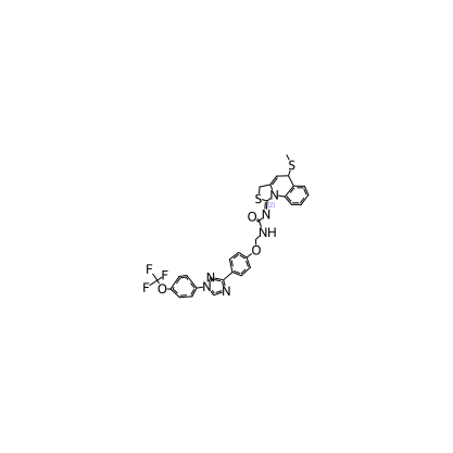 CSC1C=C2CS/C(=N\C(=O)NCOc3ccc(-c4ncn(-c5ccc(OC(F)(F)F)cc5)n4)cc3)N2c2ccccc21